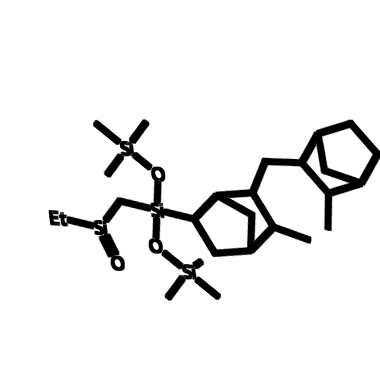 CC[Si](=O)C[Si](O[Si](C)(C)C)(O[Si](C)(C)C)C1CC2CC1C(CC1C3CCC(C3)C1C)C2C